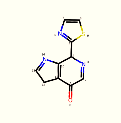 O=C1C=NC(c2nccs2)C2=C1CC=N2